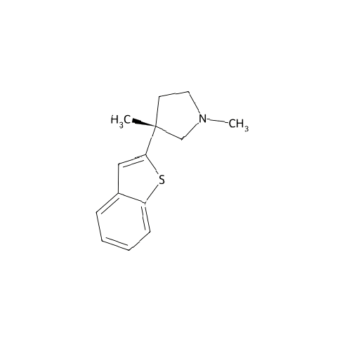 CN1CC[C@@](C)(c2cc3ccccc3s2)C1